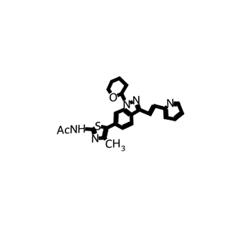 CC(=O)Nc1nc(C)c(-c2ccc3c(C=Cc4ccccn4)nn(C4CCCCO4)c3c2)s1